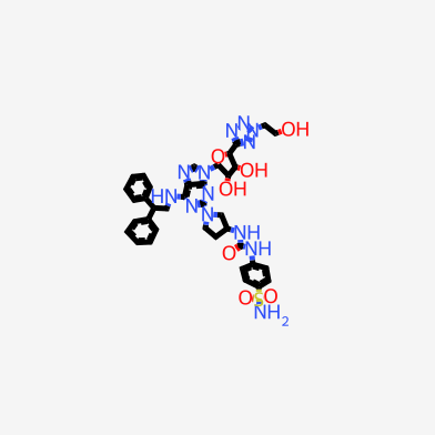 NS(=O)(=O)c1ccc(NC(=O)NC2CCN(c3nc(NCC(c4ccccc4)c4ccccc4)c4ncn(C5OC(c6nnn(CCO)n6)C(O)C5O)c4n3)C2)cc1